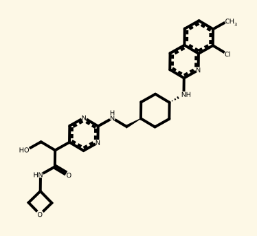 Cc1ccc2ccc(N[C@H]3CC[C@H](CNc4ncc(C(CO)C(=O)NC5COC5)cn4)CC3)nc2c1Cl